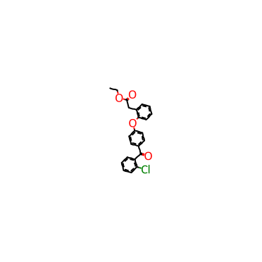 CCOC(=O)Cc1ccccc1Oc1ccc(C(=O)c2ccccc2Cl)cc1